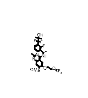 COc1cc2nc(C)nc(N[C@H](C)c3cccc(C(F)(F)C(C)(C)O)c3F)c2cc1OCCOC(F)(F)F